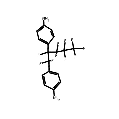 Nc1ccc(C(F)(F)C(F)(c2ccc(N)cc2)C(F)(F)C(F)(F)C(F)(F)F)cc1